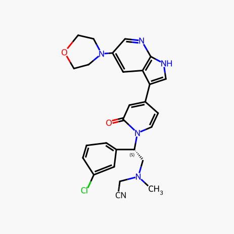 CN(CC#N)C[C@H](c1cccc(Cl)c1)n1ccc(-c2c[nH]c3ncc(N4CCOCC4)cc23)cc1=O